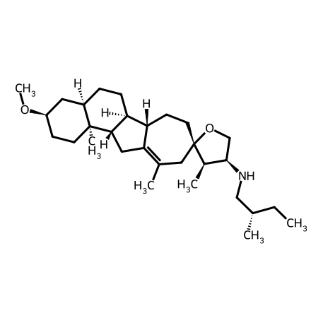 CC[C@H](C)CN[C@@H]1CO[C@]2(CC[C@@H]3C(=C(C)C2)C[C@H]2[C@H]3CC[C@@H]3C[C@H](OC)CC[C@@]32C)[C@@H]1C